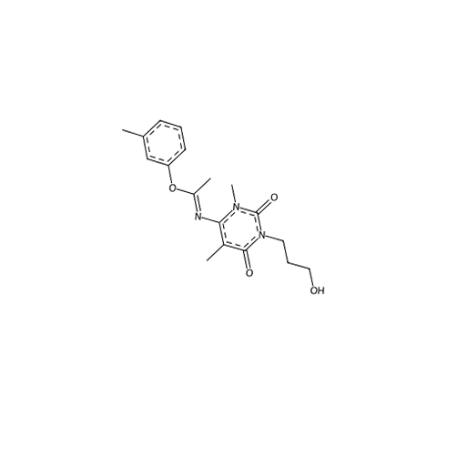 C/C(=N\c1c(C)c(=O)n(CCCO)c(=O)n1C)Oc1cccc(C)c1